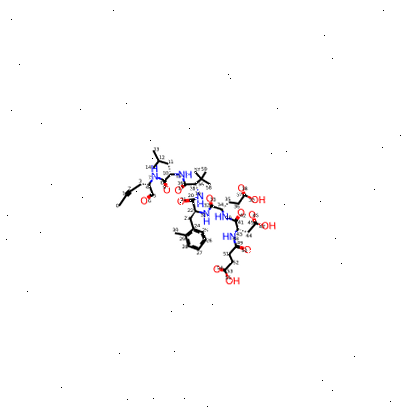 CC#CC[C@@H](C=O)NC(=O)[C@H](CC(C)C)NC(=O)[C@@H](NC(=O)[C@H](Cc1ccccc1C)NC(=O)[C@H](CCC(=O)O)NC(=O)[C@H](CC(=O)O)NC(=O)CCC(=O)O)C(C)(C)C